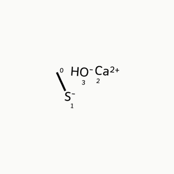 C[S-].[Ca+2].[OH-]